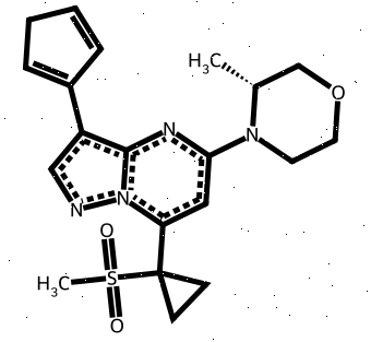 C[C@@H]1COCCN1c1cc(C2(S(C)(=O)=O)CC2)n2ncc(C3=CCC=C3)c2n1